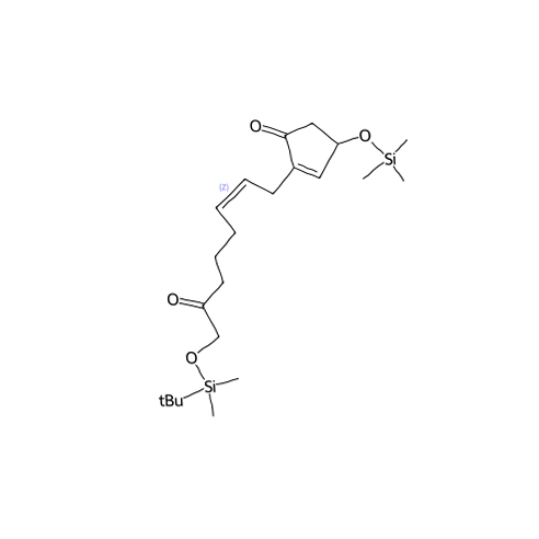 CC(C)(C)[Si](C)(C)OCC(=O)CCC/C=C\CC1=CC(O[Si](C)(C)C)CC1=O